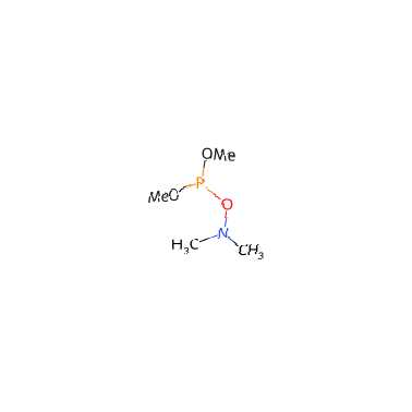 COP(OC)ON(C)C